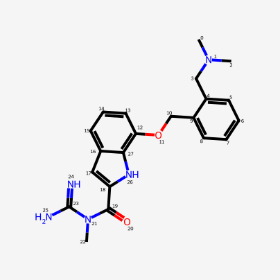 CN(C)Cc1ccccc1COc1cccc2cc(C(=O)N(C)C(=N)N)[nH]c12